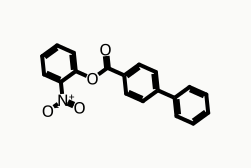 O=C(Oc1ccccc1[N+](=O)[O-])c1ccc(-c2ccccc2)cc1